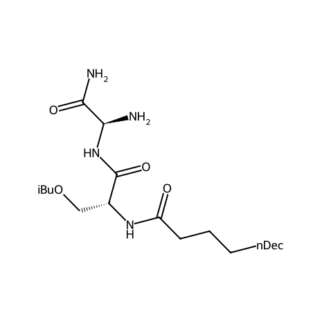 CCCCCCCCCCCCCC(=O)N[C@H](COCC(C)C)C(=O)N[C@H](N)C(N)=O